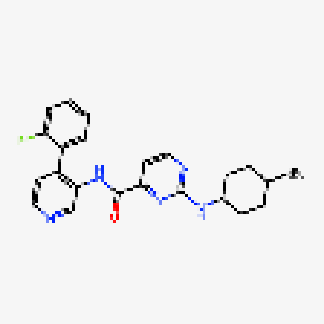 CC(C)(C)C1CCC(Nc2nccc(C(=O)Nc3cnccc3-c3ccccc3F)n2)CC1